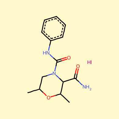 CC1CN(C(=O)Nc2ccccc2)C(C(N)=O)C(C)O1.I